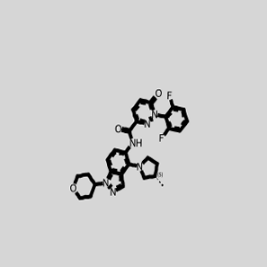 C[C@H]1CCN(c2c(NC(=O)c3ccc(=O)n(-c4c(F)cccc4F)n3)ccc3c2cnn3C2CCOCC2)C1